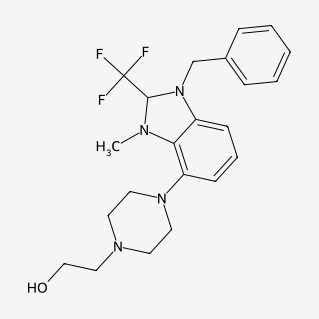 CN1c2c(N3CCN(CCO)CC3)cccc2N(Cc2ccccc2)C1C(F)(F)F